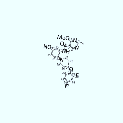 COc1nc(C)ncc1C(=O)Nc1cc(C#N)ccc1N1CCC(Oc2ccc(F)cc2F)CC1